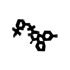 C[C@H](NC(=O)C(C)(C)Oc1nccc(C(F)(F)F)n1)C(Cc1ccc(Cl)cc1)c1ccccc1